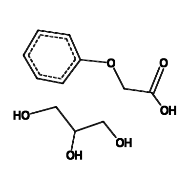 O=C(O)COc1ccccc1.OCC(O)CO